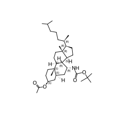 CC(=O)O[C@H]1CC[C@@]2(C)[C@H](C1)C[C@@H](NC(=O)OC(C)(C)C)[C@@H]1[C@@H]2CC[C@]2(C)[C@@H]([C@H](C)CCCC(C)C)CC[C@@H]12